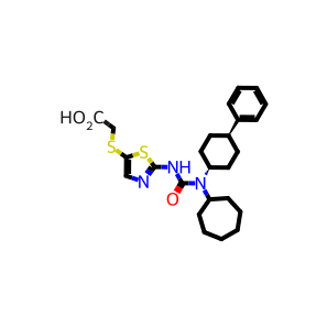 O=C(O)CSc1cnc(NC(=O)N(C2CCCCCC2)[C@H]2CC[C@H](c3ccccc3)CC2)s1